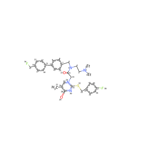 CCN(CC)CCN(Cc1ccc(-c2ccc(CF)cc2)cc1)C(=O)Cn1cc(C)c(=O)nc1SCc1ccc(F)cc1